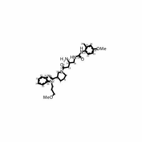 COCCCn1c(C2CCCN(C(=O)CC(N)CNC(=O)Nc3ccc(OC)cc3C)C2)nc2ccccc21